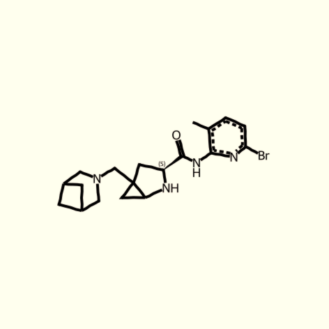 Cc1ccc(Br)nc1NC(=O)[C@@H]1CC2(CN3CC4CC(C4)C3)CC2N1